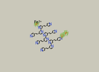 C(=Cc1ccnc(-c2cc(C=Cc3ccncc3)ccn2)c1)c1ccncc1.C(=Cc1ccnc(-c2cc(C=Cc3ccncc3)ccn2)c1)c1ccncc1.C(=Cc1ccnc(-c2cc(C=Cc3ccncc3)ccn2)c1)c1ccncc1.F[P-](F)(F)(F)(F)F.F[P-](F)(F)(F)(F)F.F[P-](F)(F)(F)(F)F.[Fe+3]